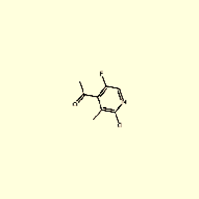 CC(=O)c1c(F)cnc(Cl)c1C